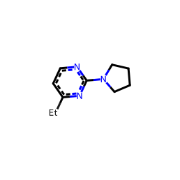 CCc1ccnc(N2CCCC2)n1